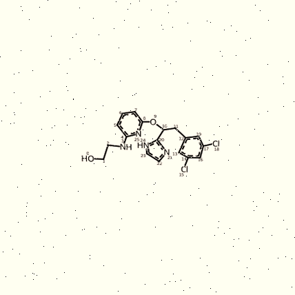 OCCNc1cccc(OC(Cc2cc(Cl)cc(Cl)c2)c2ncc[nH]2)n1